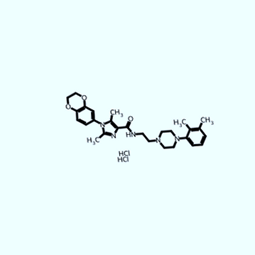 Cc1cccc(N2CCN(CCNC(=O)c3nc(C)n(-c4ccc5c(c4)OCCO5)c3C)CC2)c1C.Cl.Cl